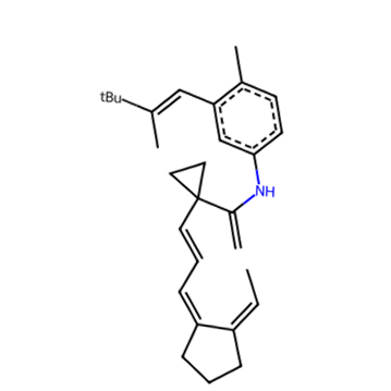 C=C(Nc1ccc(C)c(/C=C(\C)C(C)(C)C)c1)C1(/C=C/C=C2/CCC/C2=C/C)CC1